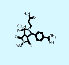 CCCCN1C(=O)C2C(c3ccc(C(=N)N)cc3)N(CCC(N)=O)C(C(=O)O)(C(C)C)C2C1=O